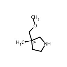 COC[C@@]1(C)CCNC1